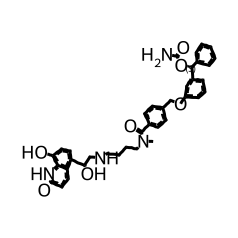 CN(CCCCNCC(O)c1ccc(O)c2[nH]c(=O)ccc12)C(=O)c1ccc(COc2cccc([C@@H](OC(N)=O)c3ccccc3)c2)cc1